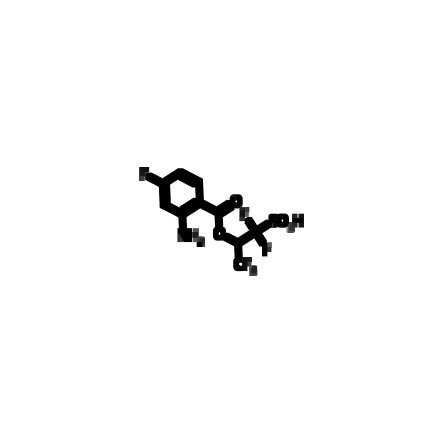 Nc1cc(F)ccc1C(=O)OC(C(F)(F)F)C(F)(F)S(=O)(=O)O